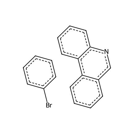 Brc1ccccc1.c1ccc2c(c1)cnc1ccccc12